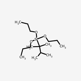 CCCO[Si](OCCC)(OCCC)C(C)(C)C(C)C